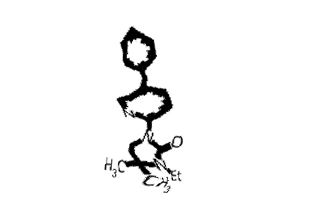 CCN1C(=O)N(c2ccc(-c3ccccc3)cn2)CC1(C)C